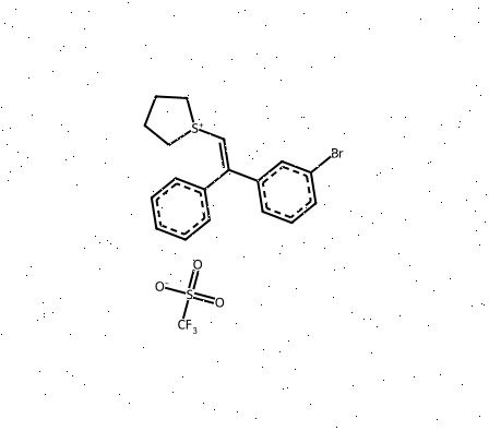 Brc1cccc(C(=C[S+]2CCCC2)c2ccccc2)c1.O=S(=O)([O-])C(F)(F)F